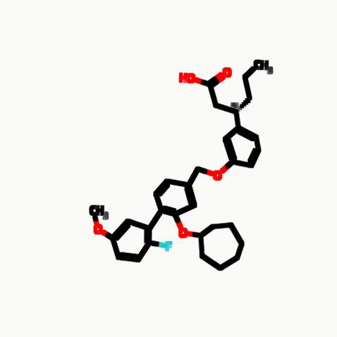 CCC[C@@H](CC(=O)O)c1cccc(OCc2ccc(-c3cc(OC)ccc3F)c(OC3CCCCCC3)c2)c1